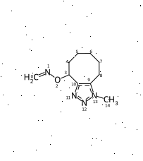 C=NOC1CCCCCc2c1nnn2C